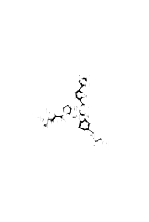 C[C@H](CO)NCc1ccc2c(c1)nc(NC(=O)c1ccc(-c3cnco3)s1)n2C[C@H]1CCCN1C(=O)/C(C#N)=C/C(C)(C)C.O=CO